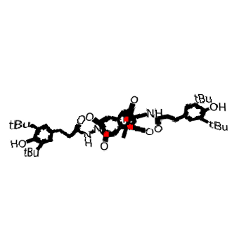 CC(C)(C)c1cc(CCC(=O)Nn2c(=O)c3ccc(c2=O)c2c4ccc(c(=O)n(NC(=O)CCc5cc(C(C)(C)C)c(O)c(C(C)(C)C)c5)c4=O)c32)cc(C(C)(C)C)c1O